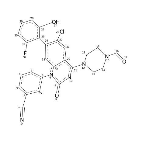 N#Cc1cccc(-n2c(=O)nc(N3CCN(C=O)CC3)c3cc(Cl)c(-c4c(O)cccc4F)cc32)c1